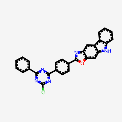 Clc1nc(-c2ccccc2)nc(-c2ccc(-c3nc4cc5c(cc4o3)[nH]c3ccccc35)cc2)n1